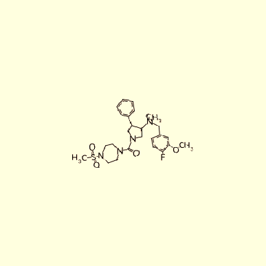 COc1cc(CN(C)C2CN(C(=O)N3CCN(S(C)(=O)=O)CC3)CC2c2ccccc2)ccc1F